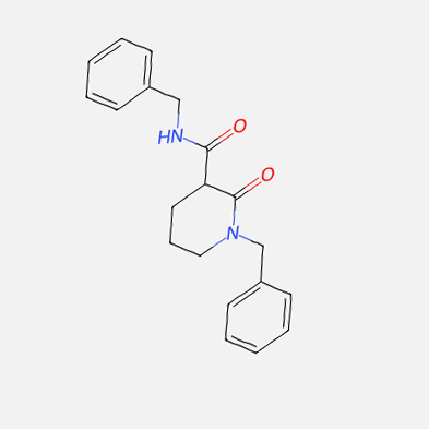 O=C(NCc1ccccc1)C1CCCN(Cc2ccccc2)C1=O